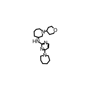 c1cc(N2CCCCCC2)nc(N[C@H]2CCCCN(C3CCOCC3)C2)n1